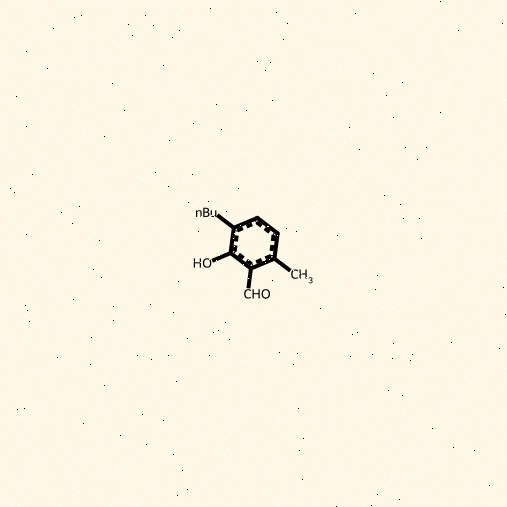 CCCCc1ccc(C)c(C=O)c1O